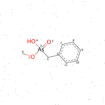 CO[As](=O)(O)Cc1ccccc1